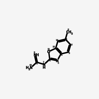 Cc1ccc2nc(NC(=N)N)oc2c1